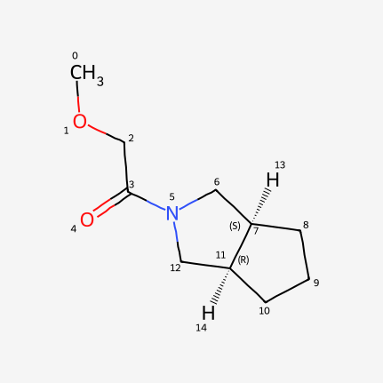 COCC(=O)N1C[C@H]2CCC[C@H]2C1